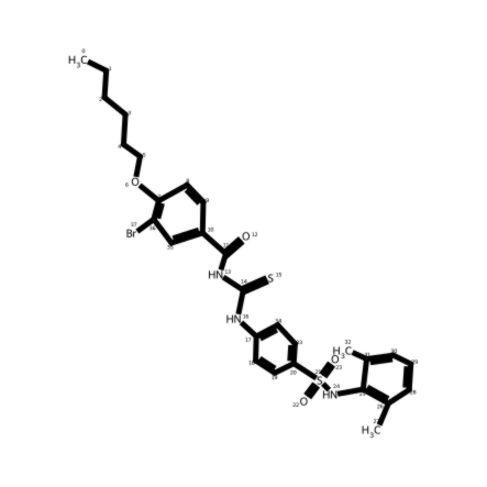 CCCCCCOc1ccc(C(=O)NC(=S)Nc2ccc(S(=O)(=O)Nc3c(C)cccc3C)cc2)cc1Br